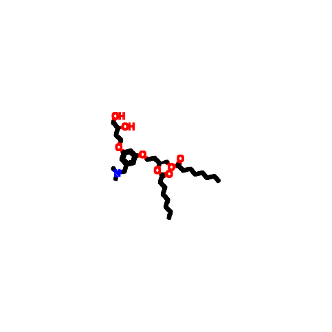 CCCCCCCC(=O)OC[C@H](CCOc1cc(CN(C)C)cc(OCC[C@H](O)CO)c1)OC(=O)CCCCCCC